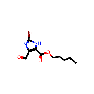 CCCCCOC(=O)c1[nH]c(Br)nc1C=O